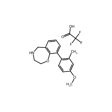 COc1ccc(-c2cccc3c2OCCNC3)c(C)c1.O=C(O)C(F)(F)F